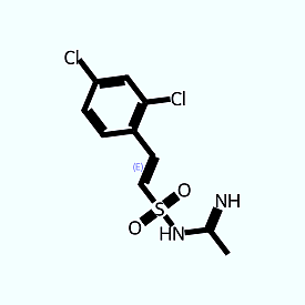 CC(=N)NS(=O)(=O)/C=C/c1ccc(Cl)cc1Cl